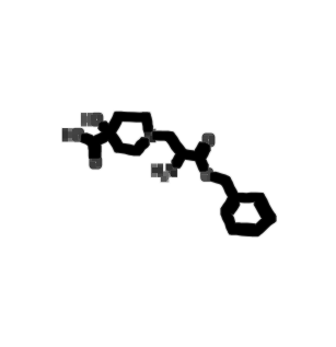 NC(CN1CCC(O)(C(=O)O)CC1)C(=O)OCc1ccccc1